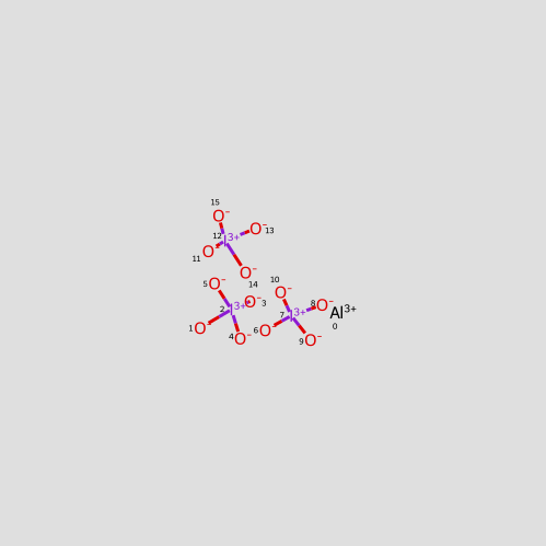 [Al+3].[O-][I+3]([O-])([O-])[O-].[O-][I+3]([O-])([O-])[O-].[O-][I+3]([O-])([O-])[O-]